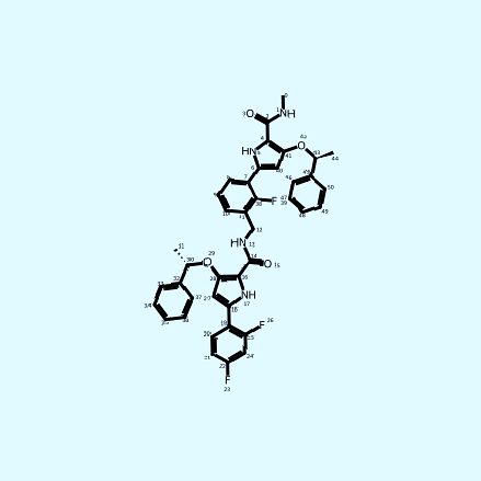 CNC(=O)c1[nH]c(-c2cccc(CNC(=O)c3[nH]c(-c4ccc(F)cc4F)cc3O[C@@H](C)c3ccccc3)c2F)cc1O[C@@H](C)c1ccccc1